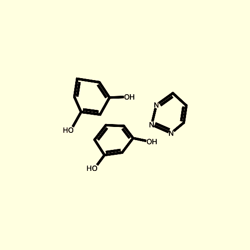 Oc1cccc(O)c1.Oc1cccc(O)c1.c1cnnnc1